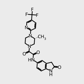 C[C@@H]1CN(C(=O)C(=O)Nc2ccc3c(c2)CC(=O)N3)CCN1c1ccc(C(F)(F)F)cn1